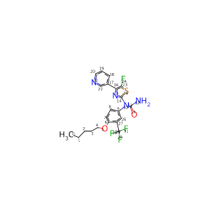 CCCCCOc1ccc(N(C(N)=O)c2nc(-c3cccnc3)c(F)s2)cc1C(F)(F)F